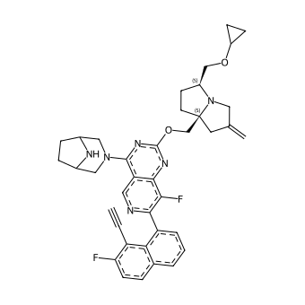 C#Cc1c(F)ccc2cccc(-c3ncc4c(N5CC6CCC(C5)N6)nc(OC[C@@]56CC[C@@H](COC7CC7)N5CC(=C)C6)nc4c3F)c12